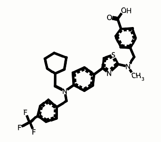 CN(Cc1ccc(C(=O)O)cc1)c1nc(-c2ccc(N(Cc3ccc(C(F)(F)F)cc3)CC3CCCCC3)cc2)cs1